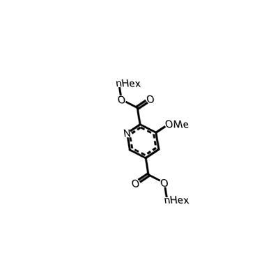 CCCCCCOC(=O)c1cnc(C(=O)OCCCCCC)c(OC)c1